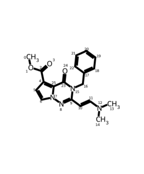 COC(=O)c1ccn2nc(/C=C/N(C)C)n(Cc3ccccc3)c(=O)c12